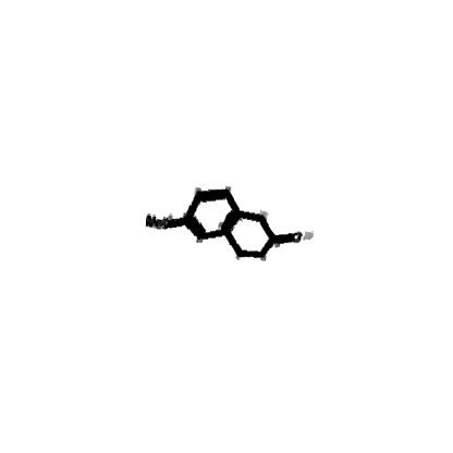 CSc1ccc2c(c1)CCC(=O)C2